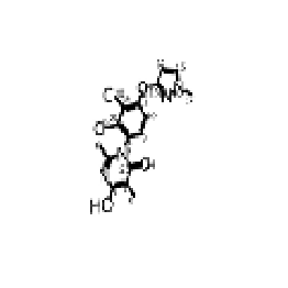 Cc1c(O)nc(C)n(-c2ccc(Oc3ccn(C)n3)c(Cl)c2Cl)c1=O